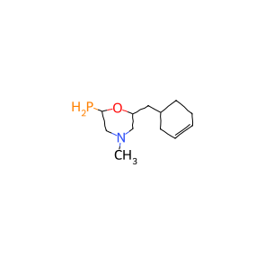 CN1CC(P)OC(CC2CC=CCC2)C1